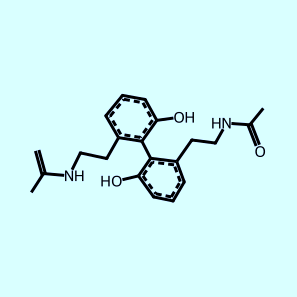 C=C(C)NCCc1cccc(O)c1-c1c(O)cccc1CCNC(C)=O